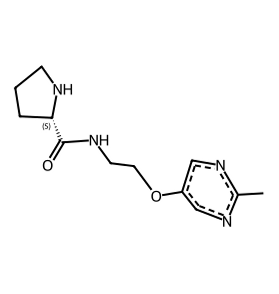 Cc1ncc(OCCNC(=O)[C@@H]2CCCN2)cn1